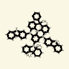 CC1(c2ccccc2)c2cccc3c2B2c4c(cc(N5c6ccccc6C6(C)CCCCC56C)cc4N(c4ccc5c(c4)sc4ccccc45)c4cccc1c42)N3c1ccc2c(c1)sc1ccccc12